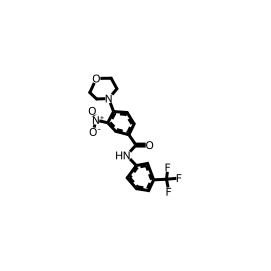 O=C(Nc1cccc(C(F)(F)F)c1)c1ccc(N2CCOCC2)c([N+](=O)[O-])c1